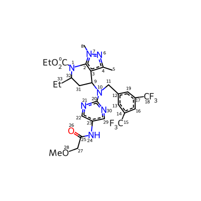 CCOC(=O)N1c2c(c(C)nn2C)C(N(Cc2cc(C(F)(F)F)cc(C(F)(F)F)c2)c2ncc(NC(=O)COC)cn2)CC1CC